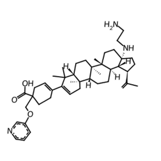 C=C(C)[C@@H]1CC[C@]2(NCCN)CC[C@]3(C)[C@H](CC[C@@H]4[C@@]5(C)CC=C(C6=CCC(COc7cccnc7)(C(=O)O)CC6)C(C)(C)[C@@H]5CC[C@]43C)[C@@H]12